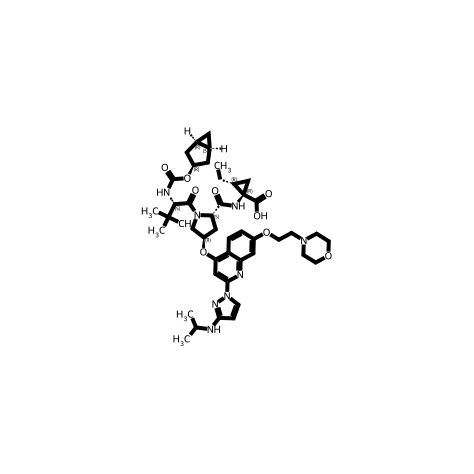 CC[C@@H]1C[C@]1(NC(=O)[C@@H]1C[C@@H](Oc2cc(-n3ccc(NC(C)C)n3)nc3cc(OCCN4CCOCC4)ccc23)CN1C(=O)[C@@H](NC(=O)O[C@@H]1C[C@@H]2C[C@@H]2C1)C(C)(C)C)C(=O)O